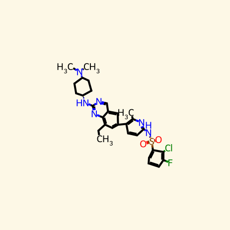 CCc1cc(-c2ccc(NS(=O)(=O)c3cccc(F)c3Cl)nc2C)cc2cnc(N[C@H]3CC[C@H](N(C)C)CC3)nc12